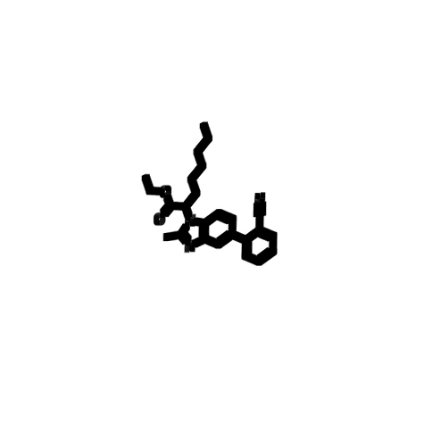 CCCCCCC(C(=O)OCC)n1c(C)nc2cc(-c3ccccc3C#N)ccc21